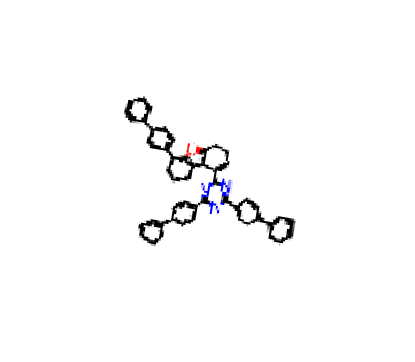 C1=CC(c2ccccc2)CC=C1c1nc(C2=CCCc3oc4c(-c5ccc(-c6ccccc6)cc5)cccc4c32)nc(-c2ccc(-c3ccccc3)cc2)n1